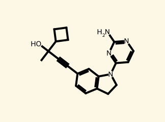 CC(O)(C#Cc1ccc2c(c1)N(c1ccnc(N)n1)CC2)C1CCC1